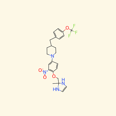 CC1(COc2ccc(N3CCC(Cc4ccc(OC(F)(F)F)cc4)CC3)cc2[N+](=O)[O-])NC=CN1